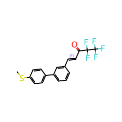 CSc1ccc(-c2cccc(/C=C/C(=O)C(F)(F)C(F)(F)F)c2)cc1